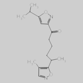 Cc1cnoc1C(C)CCCC(=O)c1cc(C(C)C)on1